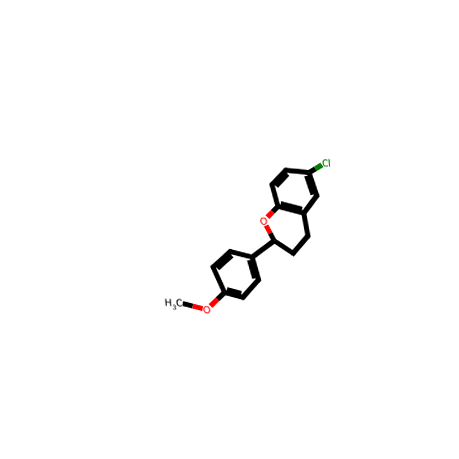 COc1ccc(C2CCc3cc(Cl)ccc3O2)cc1